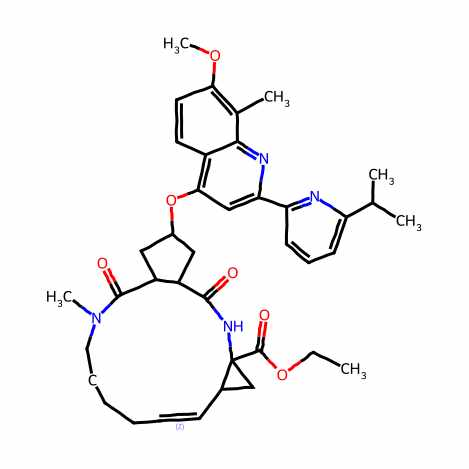 CCOC(=O)C12CC1/C=C\CCCCN(C)C(=O)C1CC(Oc3cc(-c4cccc(C(C)C)n4)nc4c(C)c(OC)ccc34)CC1C(=O)N2